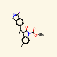 Cc1ccc2c(c1)[C@]1(C[C@H]1c1ccc3c(c1)CN=C3I)C(=O)N2C(=O)OC(C)(C)C